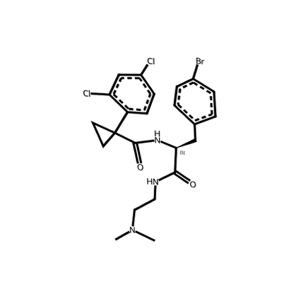 CN(C)CCNC(=O)[C@H](Cc1ccc(Br)cc1)NC(=O)C1(c2ccc(Cl)cc2Cl)CC1